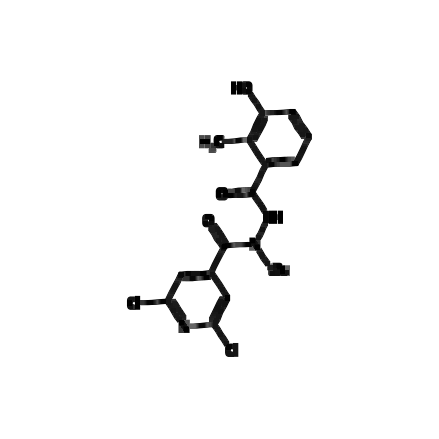 Cc1c(O)cccc1C(=O)NN(C(=O)c1cc(Cl)nc(Cl)c1)C(C)(C)C